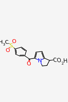 CS(=O)(=O)c1ccc(C(=O)c2ccc3n2CCC3C(=O)O)cc1